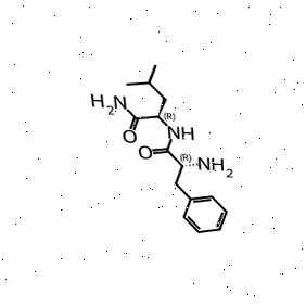 CC(C)C[C@@H](NC(=O)[C@H](N)Cc1ccccc1)C(N)=O